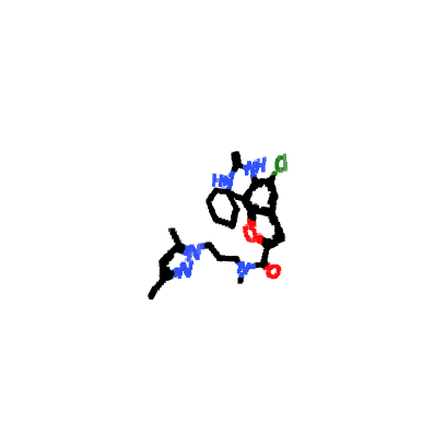 C=C1Nc2c(Cl)cc3cc(C(=O)N(C)CCCn4nc(C)cc4C)oc3c2C2(CCCCC2)N1